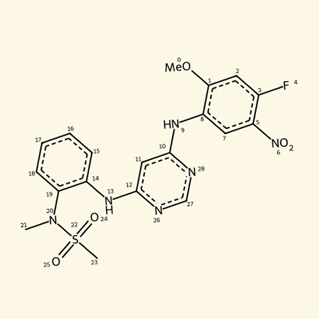 COc1cc(F)c([N+](=O)[O-])cc1Nc1cc(Nc2ccccc2N(C)S(C)(=O)=O)ncn1